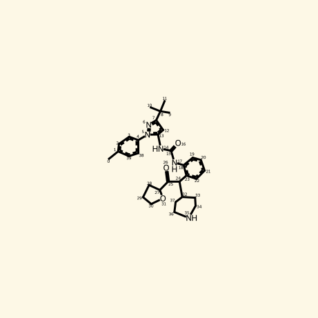 Cc1ccc(-n2nc(C(C)(C)C)cc2NC(=O)Nc2ccccc2C(C(=O)C2CCCO2)C2CCNCC2)cc1